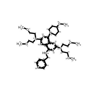 COCCN(CCOC)c1nc(N2CCC(OC)CC2)c2nc(N(CCOC)CCOC)nc(NCc3ccncc3)c2n1